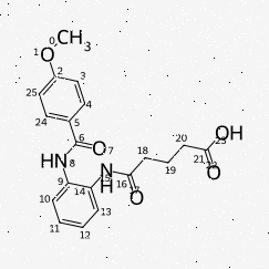 COc1ccc(C(=O)Nc2ccccc2NC(=O)CCCC(=O)O)cc1